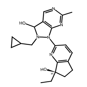 CC[C@@]1(O)CCc2ccc(N3c4nc(C)ncc4C(O)N3CC3CC3)nc21